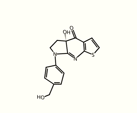 O=C1c2ccsc2N=C2N(c3ccc(CO)cc3)CC[C@@]12O